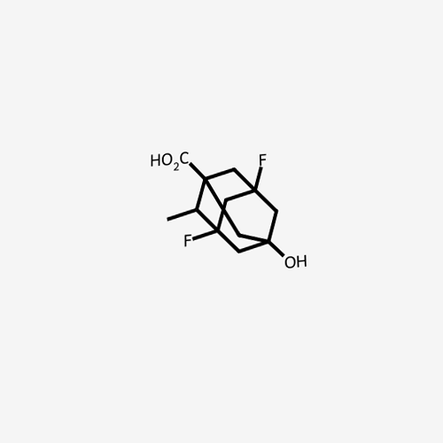 CC1C2(F)CC3(O)CC(F)(C2)CC1(C(=O)O)C3